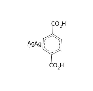 O=C(O)c1ccc(C(=O)O)cc1.[Ag].[Ag]